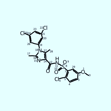 COc1ccc(Cl)c(S(=O)(=O)NC(=O)c2nc(C)n(-c3cc(Cl)cc(Cl)c3)c2C)c1